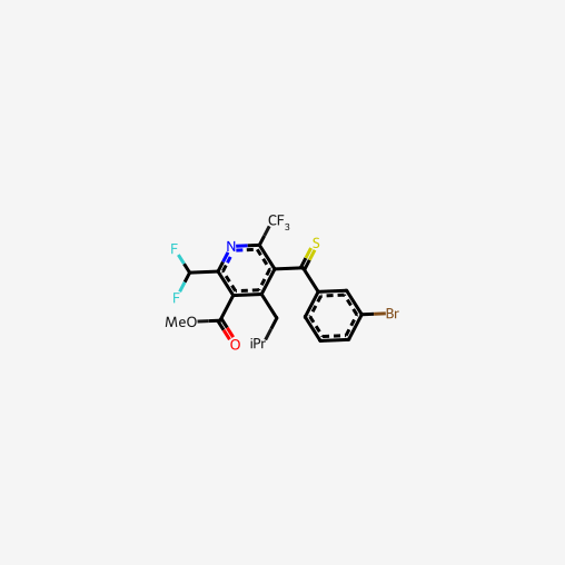 COC(=O)c1c(C(F)F)nc(C(F)(F)F)c(C(=S)c2cccc(Br)c2)c1CC(C)C